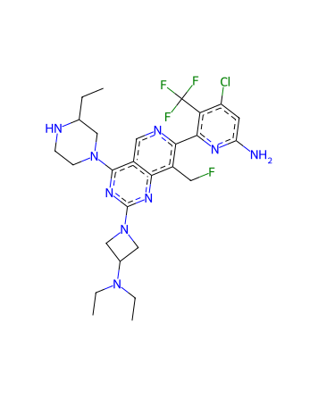 CCC1CN(c2nc(N3CC(N(CC)CC)C3)nc3c(CF)c(-c4nc(N)cc(Cl)c4C(F)(F)F)ncc23)CCN1